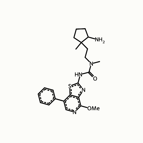 COc1ncc(-c2ccccc2)c2sc(NC(=O)N(C)CCC3(C)CCCC3N)nc12